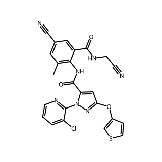 Cc1cc(C#N)cc(C(=O)NCC#N)c1NC(=O)c1cc(Oc2ccsc2)nn1-c1ncccc1Cl